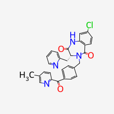 Cc1ccc(C(=O)c2ccc(CN3C(=O)c4ccc(Cl)cc4NC(=O)[C@H]3Cc3ccccn3)cc2)nc1